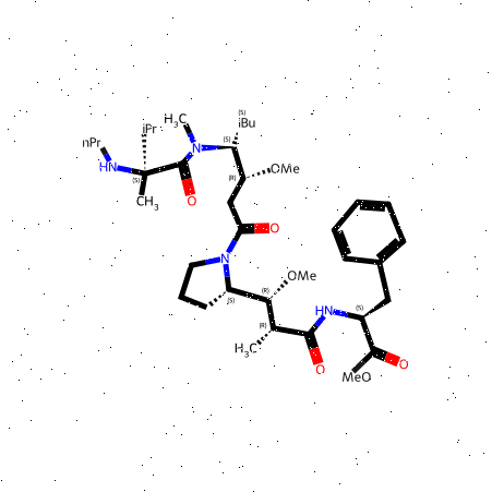 CCCN[C@](C)(C(=O)N(C)[C@@H]([C@@H](C)CC)[C@@H](CC(=O)N1CCC[C@H]1[C@H](OC)[C@@H](C)C(=O)N[C@@H](Cc1ccccc1)C(=O)OC)OC)C(C)C